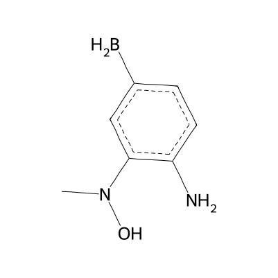 Bc1ccc(N)c(N(C)O)c1